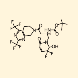 CC(C)(C)OC(=O)N[C@@H](CC(=O)N1CCc2c(nc(C(F)(F)F)nc2C(F)(F)F)C1)CN1C(=O)C=CC(F)(F)C1O